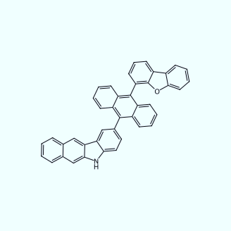 c1ccc2cc3c(cc2c1)[nH]c1ccc(-c2c4ccccc4c(-c4cccc5c4oc4ccccc45)c4ccccc24)cc13